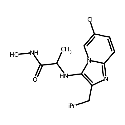 CC(C)Cc1nc2ccc(Cl)cn2c1NC(C)C(=O)NO